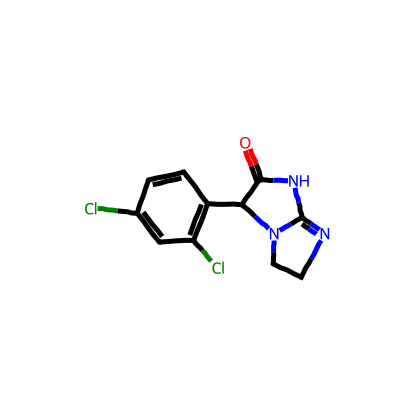 O=C1NC2=NCCN2C1c1ccc(Cl)cc1Cl